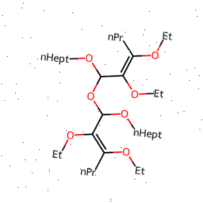 CCCCCCCOC(OC(OCCCCCCC)C(OCC)=C(CCC)OCC)C(OCC)=C(CCC)OCC